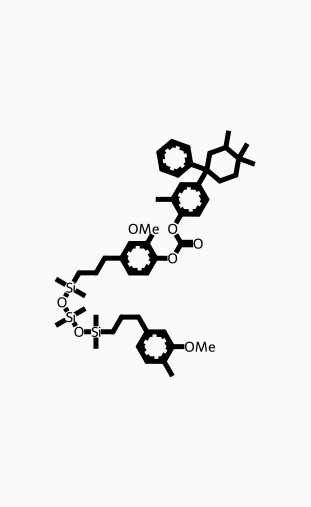 COc1cc(CCC[Si](C)(C)O[Si](C)(C)O[Si](C)(C)CCCc2ccc(OC(=O)Oc3ccc(C4(c5ccccc5)CCC(C)(C)C(C)C4)cc3C)c(OC)c2)ccc1C